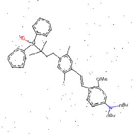 CCCCN(CCCC)c1ccc(C=Cc2cc(C)c(CCC(C)(C)[Si](O)(c3ccccc3)c3ccccc3)cc2C)c(OC)c1